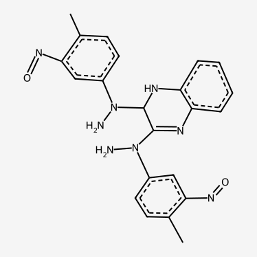 Cc1ccc(N(N)C2=Nc3ccccc3NC2N(N)c2ccc(C)c(N=O)c2)cc1N=O